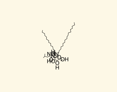 CCCCCCCCCCCCCCCCCCN(C(=O)CCCCCCCCCCCCC)[C@@H]1O[C@H](CO)[C@@H](O)[C@H](O)[C@H]1NC(=O)[C@@H](N)CC(C)C